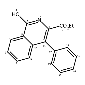 CCOC(=O)c1nc(O)c2ccccc2c1-c1ccccc1